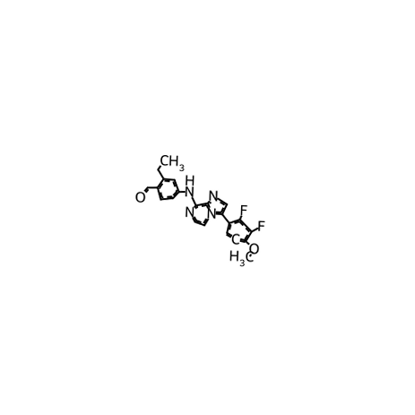 CCc1cc(Nc2nccn3c(-c4ccc(OC)c(F)c4F)cnc23)ccc1C=O